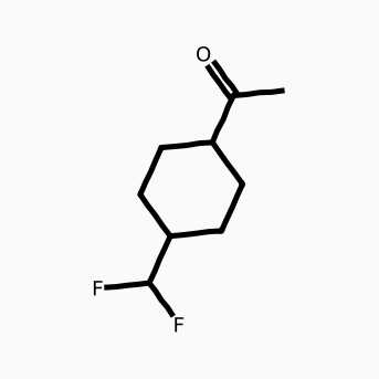 CC(=O)C1CCC(C(F)F)CC1